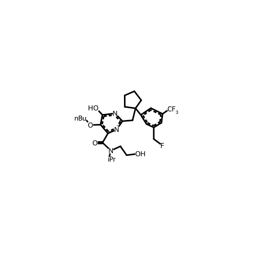 CCCCOc1c(O)nc(CC2(c3cc(CF)cc(C(F)(F)F)c3)CCCC2)nc1C(=O)N(CCO)C(C)C